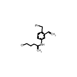 C=Cc1cc(NC(=C)CCCCl)ccc1CC(C)C